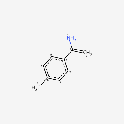 C=C(N)c1ccc(C)cc1